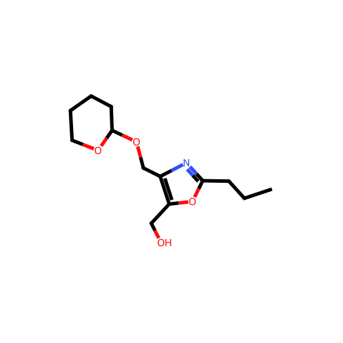 CCCc1nc(COC2CCCCO2)c(CO)o1